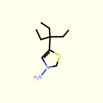 CCC(CC)(CC)C1=CN(N)CS1